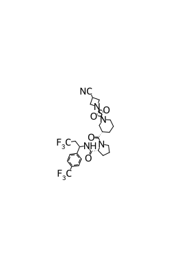 N#CC1CN(S(=O)(=O)N2CCC[C@H](C(=O)N3CCC[C@@H]3C(=O)NC(CC(F)(F)F)c3ccc(C(F)(F)F)cc3)C2)C1